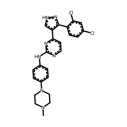 CN1CCN(c2ccc(Nc3nccc(-c4c[nH]nc4-c4ccc(Cl)cc4Cl)n3)cc2)CC1